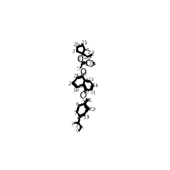 CCC(C)c1ccc(COc2cccc3c(OCC(=O)OC4(CC)CCCC4)cccc23)cc1